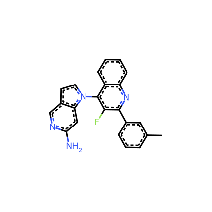 Cc1cccc(-c2nc3ccccc3c(-n3ccc4cnc(N)cc43)c2F)c1